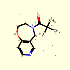 CC(C)(C)C(=O)N1CCOc2ccncc2C1